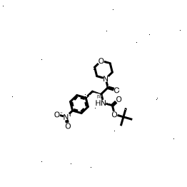 CC(C)(C)OC(=O)N[C@@H](Cc1ccc([N+](=O)[O-])cc1)C(=O)N1CCOCC1